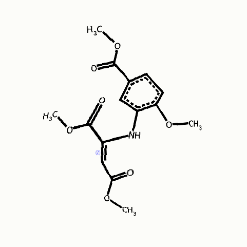 COC(=O)/C=C(\Nc1cc(C(=O)OC)ccc1OC)C(=O)OC